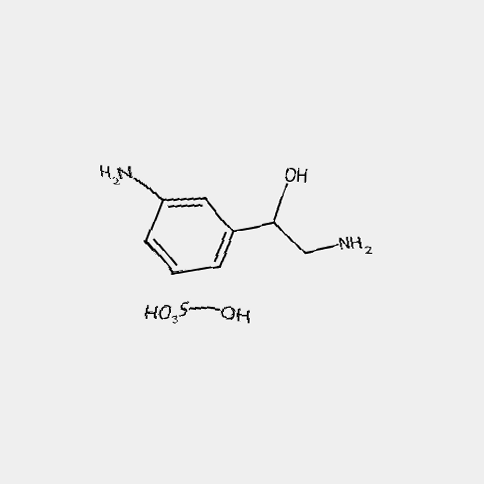 NCC(O)c1cccc(N)c1.O=S(=O)(O)O